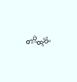 O=C1CCC(N2Cc3cc(O[C@H]4CCOC[C@@H]4NCc4ccccc4)ccc3C2=O)C(=O)N1